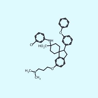 CN(C)CCCOc1ccc2c(c1)C1(CCC(Nc3cccc(Cl)c3)(C(=O)O)CC1)C(c1cccc(Oc3ccccc3)c1)C2